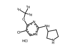 Cl.[2H]C([2H])([2H])Oc1nc(NC2CCNC2)ncc1Cl